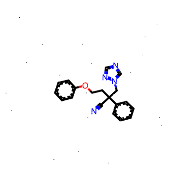 N#CC(CCOc1ccccc1)(Cn1cncn1)c1ccccc1